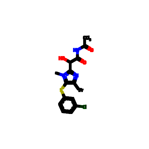 CC(C)c1nc(C(O)C(=O)NC(=O)C(Cl)(Cl)Cl)n(C)c1Sc1cccc(Cl)c1